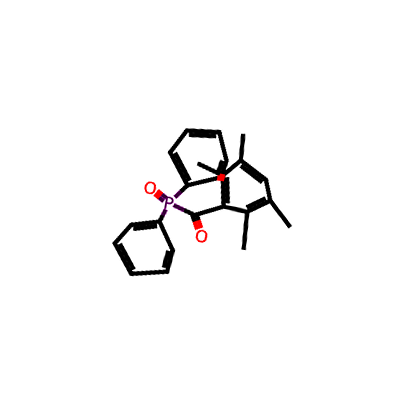 Cc1cc(C)c(C)c(C(=O)P(=O)(c2ccccc2)c2ccccc2)c1C